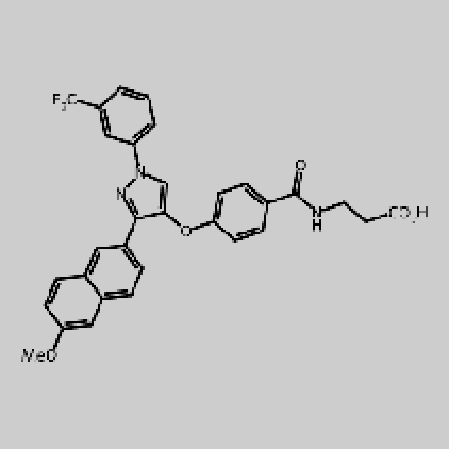 COc1ccc2cc(-c3nn(-c4cccc(C(F)(F)F)c4)cc3Oc3ccc(C(=O)NCCC(=O)O)cc3)ccc2c1